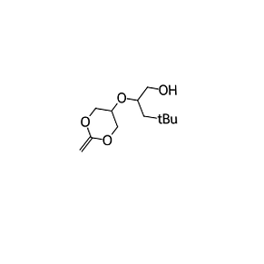 C=C1OCC(OC(CO)CC(C)(C)C)CO1